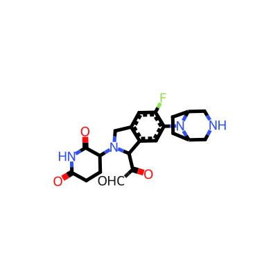 O=CC(=O)C1c2cc(N3C4CCC3CNC4)c(F)cc2CN1C1CCC(=O)NC1=O